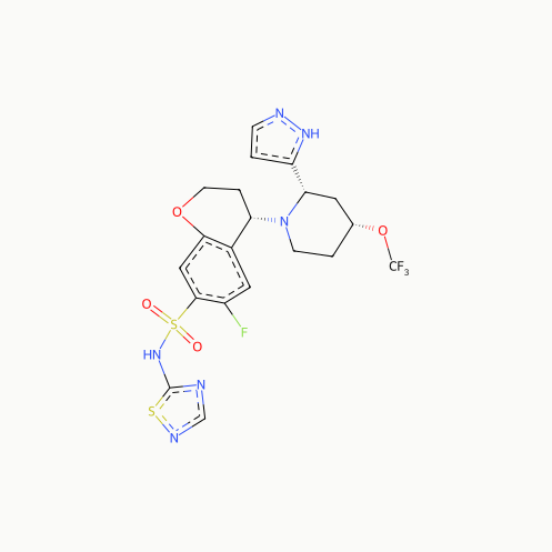 O=S(=O)(Nc1ncns1)c1cc2c(cc1F)[C@@H](N1CC[C@@H](OC(F)(F)F)C[C@H]1c1ccn[nH]1)CCO2